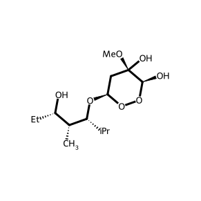 CC[C@H](O)[C@@H](C)[C@H](O[C@H]1C[C@@](O)(OC)[C@@H](O)OO1)C(C)C